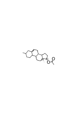 CC(=O)O[C@H]1CCC2C3CC=C4CC(C)CCC4C3CC[C@@]21C